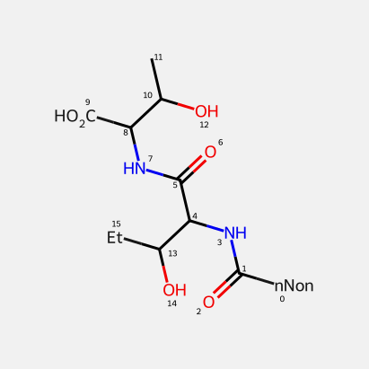 CCCCCCCCCC(=O)NC(C(=O)NC(C(=O)O)C(C)O)C(O)CC